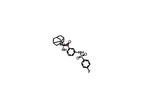 NC(=O)C12CC3CC(C1)C(NC(=O)c1cccc(NS(=O)(=O)c4ccc(F)cc4)c1)C(C3)C2